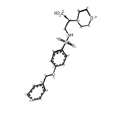 O=C(O)[C@H](CNS(=O)(=O)c1ccc(OCc2ccncc2)cc1)N1CCOCC1